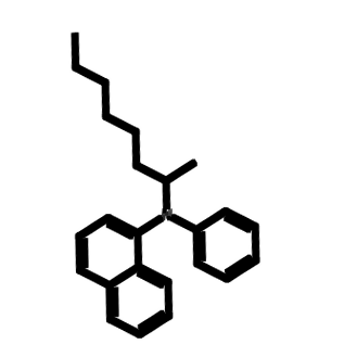 CCCCCCC(C)N(c1ccccc1)c1cccc2ccccc12